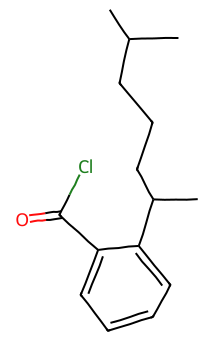 CC(C)CCCC(C)c1ccccc1C(=O)Cl